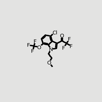 COCCn1cc(C(=O)C(F)(F)F)c2c(Cl)ccc(OC(F)(F)F)c21